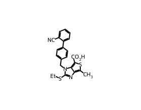 CCSc1nc2c(C)sc(C(=O)O)c2n1Cc1ccc(-c2ccccc2C#N)cc1